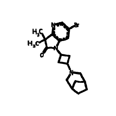 CC1(C)C(=O)N(C2CC(N3CC4CCC(C4)C3)C2)c2cc(Br)cnc21